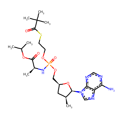 CC(C)OC(=O)[C@H](C)NP(=O)(OCCSC(=O)C(C)(C)C)OC[C@@H]1C[C@H](C)[C@H](n2cnc3c(N)ncnc32)O1